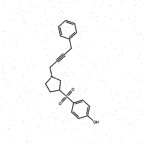 O=S(=O)(c1ccc(O)cc1)C1CCN(CC#CCc2ccccc2)C1